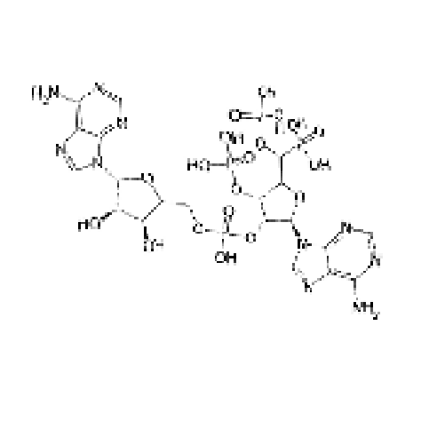 Nc1ncnc2c1ncn2[C@@H]1O[C@H](COP(=O)(O)O[C@@H]2[C@H](OP(=O)(O)O)[C@@H](C(OP(=O)(O)O)P(=O)(O)O)O[C@H]2n2cnc3c(N)ncnc32)[C@@H](O)[C@H]1O